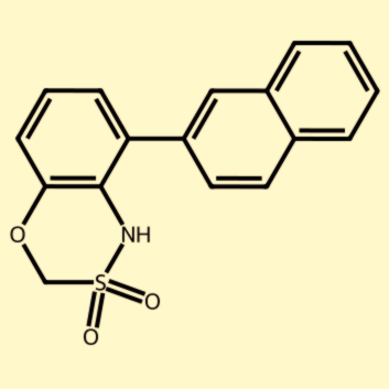 O=S1(=O)COc2cccc(-c3ccc4ccccc4c3)c2N1